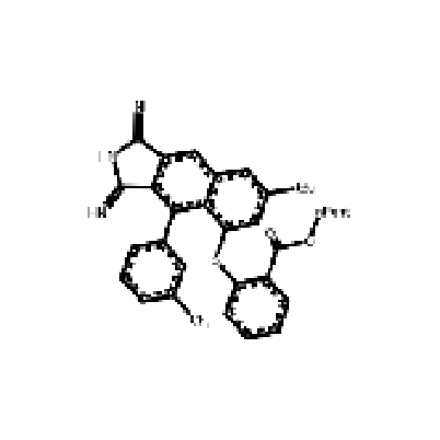 CCCCCOC(=O)c1ccccc1Sc1cc(C(C)(C)C)cc2cc3c(c(-c4cccc(C(F)(F)F)c4)c12)C(=N)NC3=N